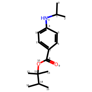 CC(C)Nc1ccc(C(=O)OC(C)(C)C(C)C)cc1